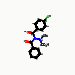 CC(C)(C)N(C(=O)O)N(C(=O)c1ccccc1)C(=O)c1ccc(Cl)cc1